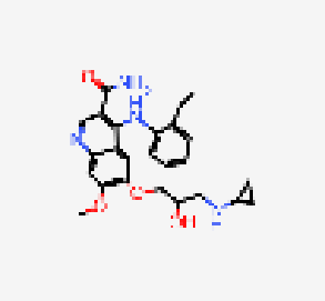 CCc1ccccc1Nc1c(C(N)=O)cnc2cc(OC)c(OCC(O)CNC3CC3)cc12